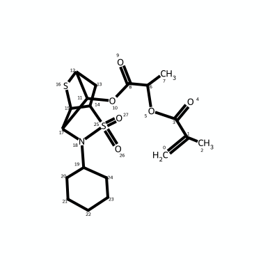 C=C(C)C(=O)OC(C)C(=O)OC1C2CC3C(S2)C1N(C1CCCCC1)S3(=O)=O